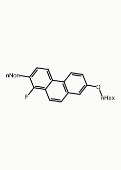 CCCCCCCCCc1ccc2c(ccc3cc(OCCCCCC)ccc32)c1F